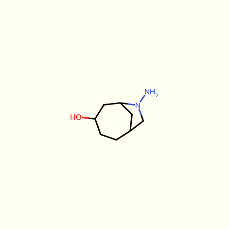 NN1CC2CCC(O)CC1C2